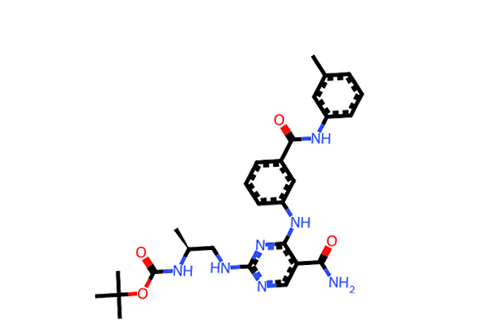 Cc1cccc(NC(=O)c2cccc(Nc3nc(NC[C@H](C)NC(=O)OC(C)(C)C)ncc3C(N)=O)c2)c1